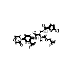 O=C(N[C@H](CNC(=O)c1ccc(Cl)s1)C(=O)Nc1ccc(N2CCOCC2=O)cc1C(F)F)OCC(F)F